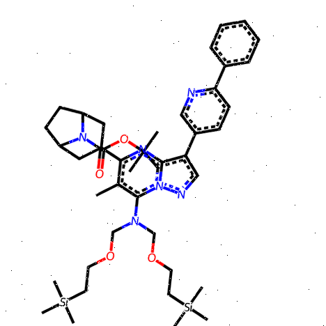 Cc1c(C2CC3CCC(C2)N3C(=O)OC(C)(C)C)nc2c(-c3ccc(-c4ccccc4)nc3)cnn2c1N(COCC[Si](C)(C)C)COCC[Si](C)(C)C